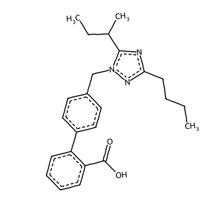 CCCCc1nc(C(C)CC)n(Cc2ccc(-c3ccccc3C(=O)O)cc2)n1